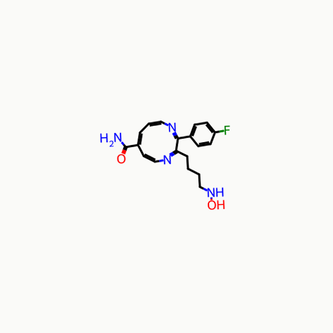 NC(=O)c1cccnc(-c2ccc(F)cc2)c(CCCCNO)ncc1